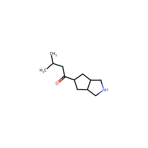 CC(C)CC(=O)C1CC2CNCC2C1